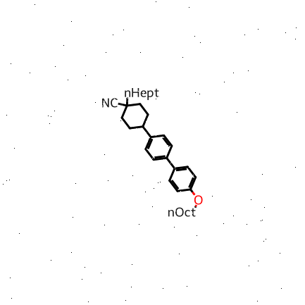 CCCCCCCCOc1ccc(-c2ccc(C3CCC(C#N)(CCCCCCC)CC3)cc2)cc1